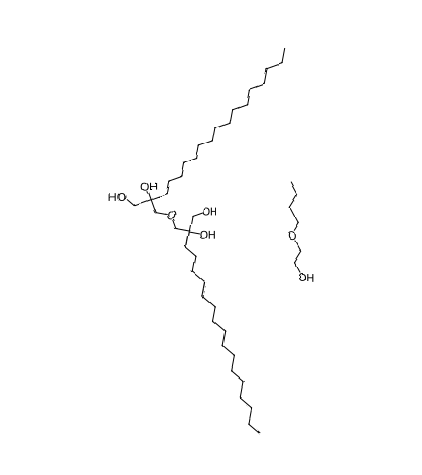 CCCCCCCCCCCCCCCCC(O)(CO)COCC(O)(CO)CCCCCCCCCCCCCCCC.CCCCOCCO